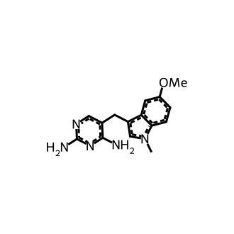 COc1ccc2c(c1)c(Cc1cnc(N)nc1N)cn2C